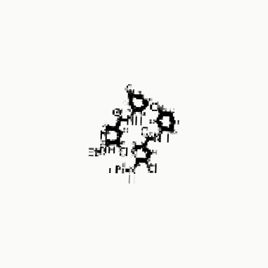 CCCNc1ncc(C(=O)Nc2cccc(Cl)c2)cc1Cl.CCNc1ncc(C(=O)Nc2cccc(Cl)c2)cc1Cl